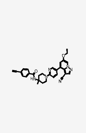 C#Cc1ccc(C(=O)NC2(C)CCN(c3ccc(-c4cc(OCC)cn5ncc(C#N)c45)cn3)CC2)cc1